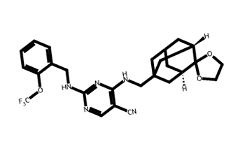 N#Cc1cnc(NCc2ccccc2OC(F)(F)F)nc1NCC12CC3C[C@H](C1)C1(OCCO1)[C@@H](C3)C2